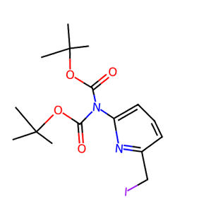 CC(C)(C)OC(=O)N(C(=O)OC(C)(C)C)c1cccc(CI)n1